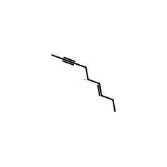 CC#CC[CH]C=CCC